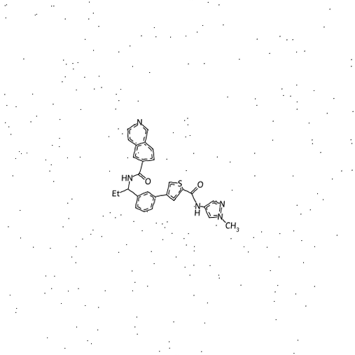 CCC(NC(=O)c1ccc2cnccc2c1)c1cccc(-c2csc(C(=O)Nc3cnn(C)c3)c2)c1